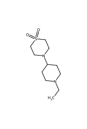 CCN1CCC(N2CCS(=O)(=O)CC2)CC1